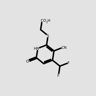 N#Cc1c(C(F)F)cc(=O)[nH]c1SCC(=O)O